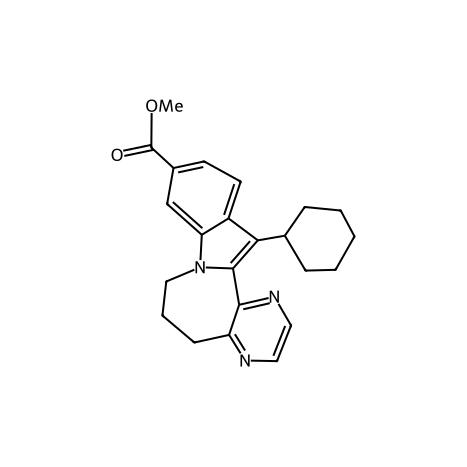 COC(=O)c1ccc2c(C3CCCCC3)c3n(c2c1)CCCc1nccnc1-3